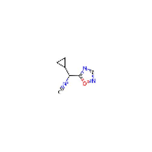 [C-]#[N+]C(c1ncno1)C1CC1